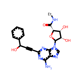 CCNC(=O)[C@H]1OC(n2cnc3c(N)nc(C#CC(O)c4ccccc4)nc32)[C@@H](O)[C@H]1O